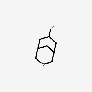 CC(C)C1CC2COCC(C2)C1